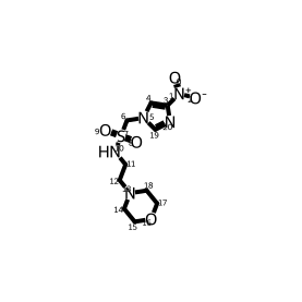 O=[N+]([O-])c1cn(CS(=O)(=O)NCCN2CCOCC2)cn1